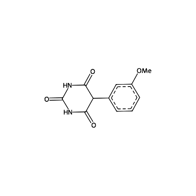 COc1cccc(C2C(=O)NC(=O)NC2=O)c1